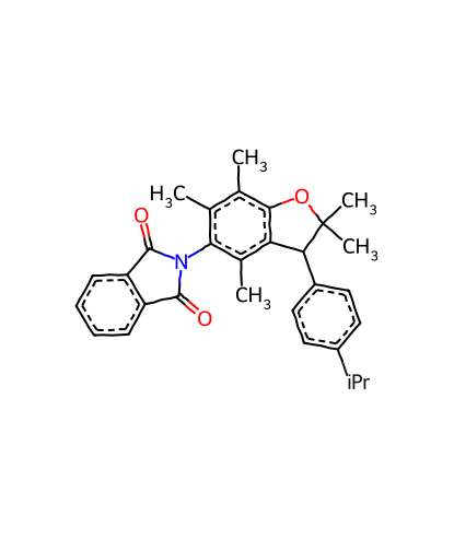 Cc1c(C)c(N2C(=O)c3ccccc3C2=O)c(C)c2c1OC(C)(C)C2c1ccc(C(C)C)cc1